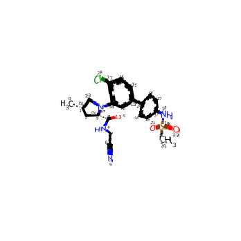 C[C@H]1C[C@@H](C(=O)NCC#N)N(c2cc(-c3ccc(NS(C)(=O)=O)cc3)ccc2Cl)C1